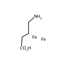 NCCCC(=O)O.[Fe].[Fe]